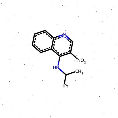 CC(C)C(C)Nc1c([N+](=O)[O-])cnc2ccccc12